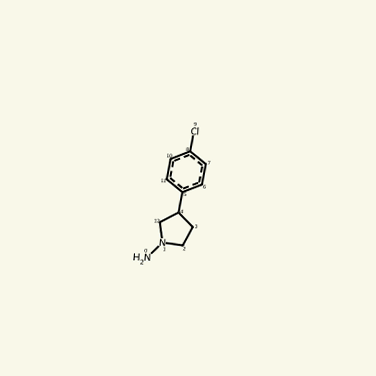 NN1CCC(c2ccc(Cl)cc2)C1